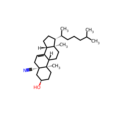 CC(C)CCCC(C)[C@H]1CC[C@H]2C3=CC[C@]4(C#N)C[C@H](O)CC[C@]4(C)[C@H]3CC[C@]12C